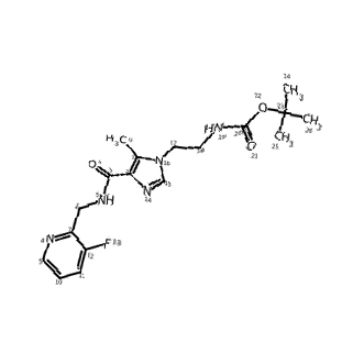 Cc1c(C(=O)NCc2ncccc2F)ncn1CCNC(=O)OC(C)(C)C